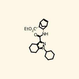 CCOC(=O)[C@@H]1C2C=CC(C2)[C@@H]1NC(=O)c1nn(C2CCCCC2)c2c1CCCC2